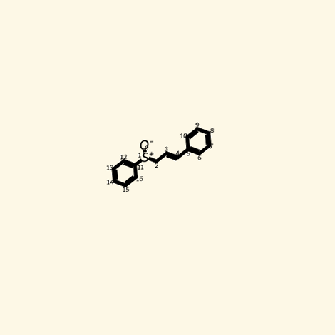 [O-][S+](CC=Cc1ccccc1)c1ccccc1